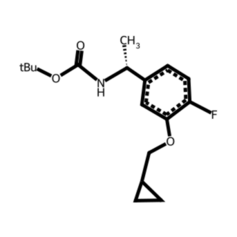 C[C@@H](NC(=O)OC(C)(C)C)c1ccc(F)c(OCC2CC2)c1